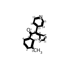 Cc1cccc(C(=O)C(=C2SCS2)c2ccncc2)c1